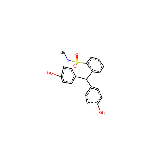 CCC(C)NS(=O)(=O)c1ccccc1C(c1ccc(O)cc1)c1ccc(O)cc1